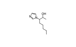 CCCCCC(C(C)O)n1ccnc1